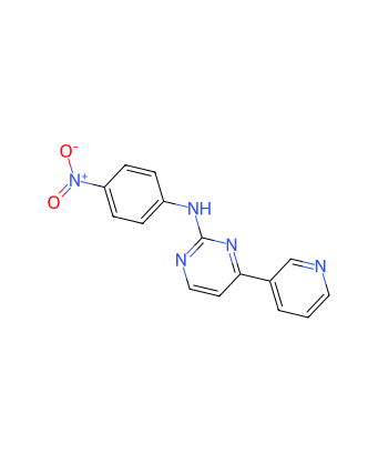 O=[N+]([O-])c1ccc(Nc2nccc(-c3cccnc3)n2)cc1